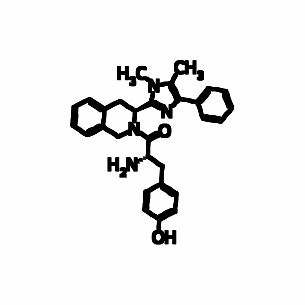 Cc1c(-c2ccccc2)nc([C@@H]2Cc3ccccc3CN2C(=O)[C@@H](N)Cc2ccc(O)cc2)n1C